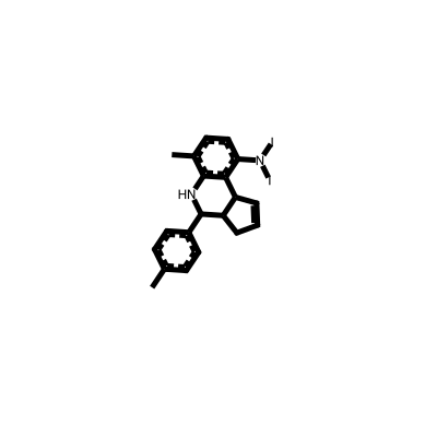 Cc1ccc(C2Nc3c(C)ccc(N(I)I)c3C3C=CCC32)cc1